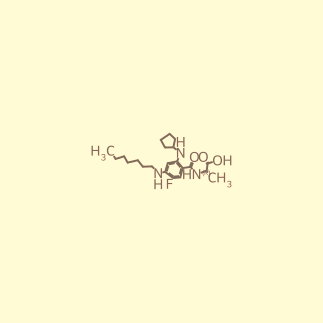 CCCCCCCNc1cc(NC2CCCC2)c(C(=O)N[C@H](C)C(=O)O)cc1F